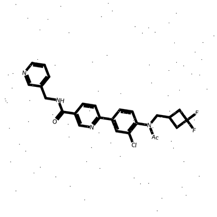 CC(=O)N(CC1CC(F)(F)C1)c1ccc(-c2ccc(C(=O)NCc3cccnc3)cn2)cc1Cl